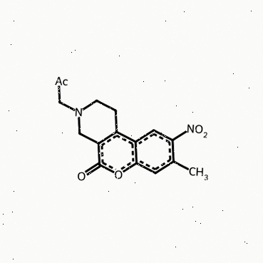 CC(=O)CN1CCc2c(c(=O)oc3cc(C)c([N+](=O)[O-])cc23)C1